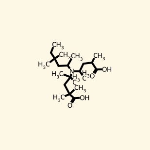 CCC(C)(C)CC(C)N(C(C)CC(C)C(=O)O)C(C)(C)CC(C)(C)C(=O)O